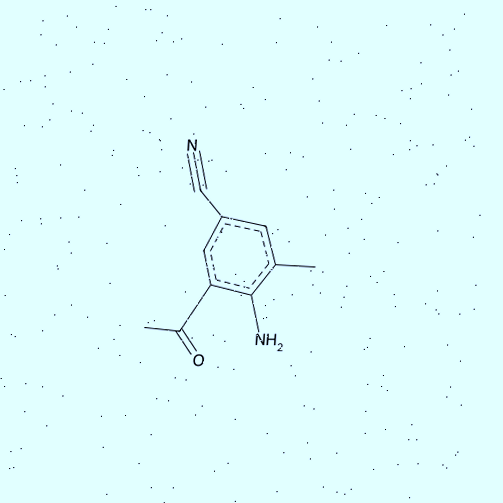 CC(=O)c1cc(C#N)cc(C)c1N